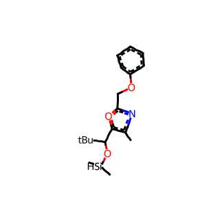 Cc1nc(COc2ccccc2)oc1C(O[SiH](C)C)C(C)(C)C